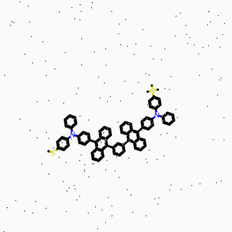 CSc1ccc(N(c2ccccc2)c2ccc(-c3c4ccccc4c(-c4cccc(-c5c6ccccc6c(-c6ccc(N(c7ccccc7)c7ccc(S(C)(C)C)cc7)cc6)c6ccccc56)c4)c4ccccc34)cc2)cc1